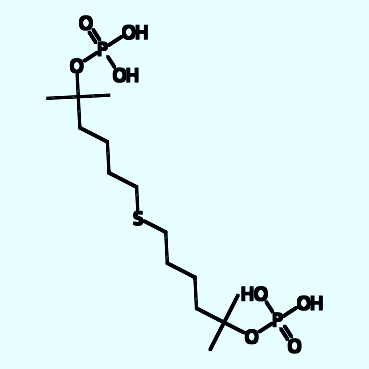 CC(C)(CCCCSCCCCC(C)(C)OP(=O)(O)O)OP(=O)(O)O